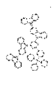 c1ccc(S(c2ccccc2)(c2ccccc2)c2cccc(-c3nc(-n4c5ccccc5c5cc(-n6c7ccccc7c7ccccc76)ccc54)cc(-n4c5ccccc5c5cc(-n6c7ccccc7c7ccccc76)ccc54)n3)c2)cc1